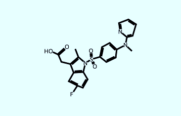 Cc1c(CC(=O)O)c2cc(F)ccc2n1S(=O)(=O)c1ccc(N(C)c2ccccn2)cc1